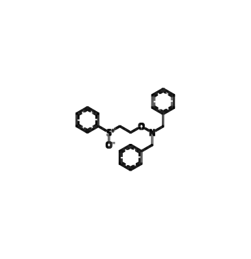 [O-][S+](CCON(Cc1ccccc1)Cc1ccccc1)c1ccccc1